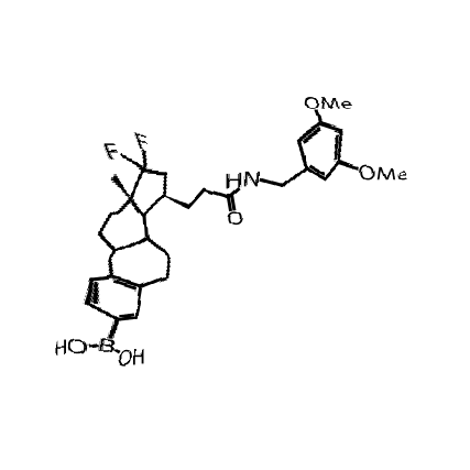 COc1cc(CNC(=O)CC[C@@H]2CC(F)(F)[C@@]3(C)CCC4c5ccc(B(O)O)cc5CCC4C23)cc(OC)c1